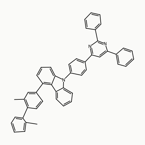 Cc1ccccc1-c1ccc(-c2cccc3c2c2ccccc2n3-c2ccc(-c3cc(-c4ccccc4)nc(-c4ccccc4)n3)cc2)cc1C